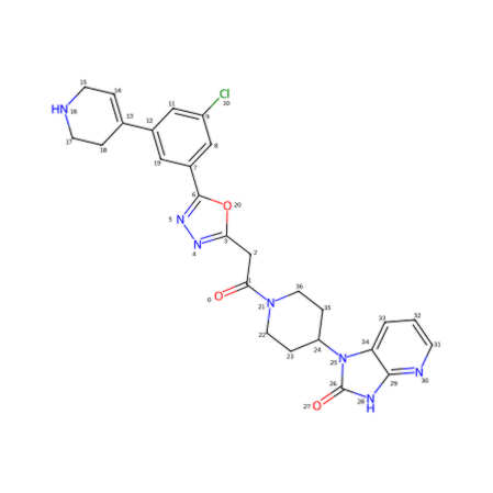 O=C(Cc1nnc(-c2cc(Cl)cc(C3=CCNCC3)c2)o1)N1CCC(n2c(=O)[nH]c3ncccc32)CC1